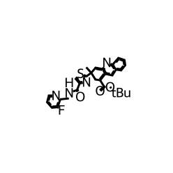 CC(C)(C)OC(=O)C1=c2cc3ccccc3nc2=CC(C)(c2nc(C(=O)NCc3ncccc3F)cs2)C1